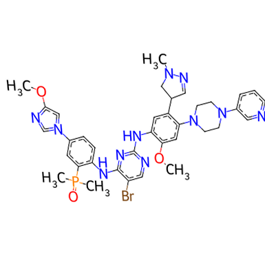 COc1cn(-c2ccc(Nc3nc(Nc4cc(C5C=NN(C)C5)c(N5CCN(c6cccnc6)CC5)cc4OC)ncc3Br)c(P(C)(C)=O)c2)cn1